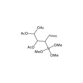 C=CC(C(OC(C)=O)C(OC(C)=O)OC(C)=O)[Si](OC)(OC)OC